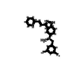 CN(Cc1cc(F)cc(F)c1)c1ccc2[nH]nc(C=Cc3ccccn3)c2c1